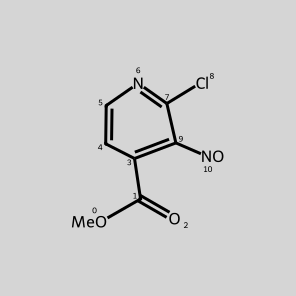 COC(=O)c1ccnc(Cl)c1N=O